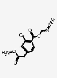 [N-]=[N+]=NCOC(=O)c1ccc(CC(=O)ON)cc1Cl